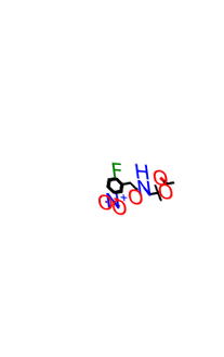 CC(=O)OC(C)(C)CNC(=O)Cc1cc([N+](=O)[O-])ccc1F